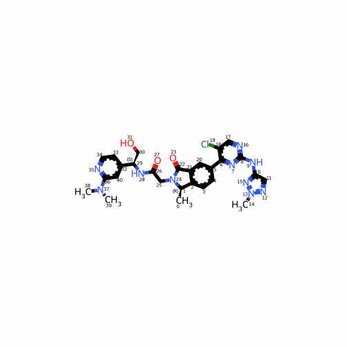 C[C@@H]1c2ccc(-c3nc(Nc4cnn(C)n4)ncc3Cl)cc2C(=O)N1CC(=O)N[C@H](CO)c1ccnc(N(C)C)c1